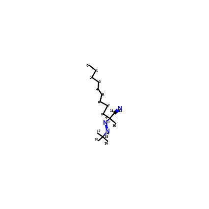 CCCCCCCCCC(C)(C#N)N=NC(C)(C)C